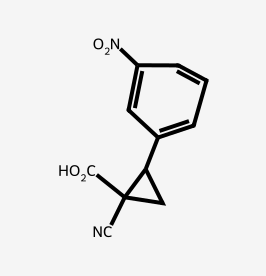 N#CC1(C(=O)O)CC1c1cccc([N+](=O)[O-])c1